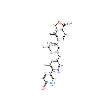 Cc1cc(CN2C[C@@H](c3ccc4c(c3C)COC4=O)N[C@@H](C)C2)cnc1-c1ccc(=O)[nH]c1